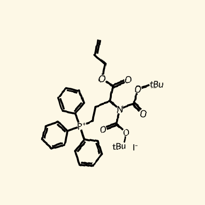 C=CCOC(=O)C(CC[P+](c1ccccc1)(c1ccccc1)c1ccccc1)N(C(=O)OC(C)(C)C)C(=O)OC(C)(C)C.[I-]